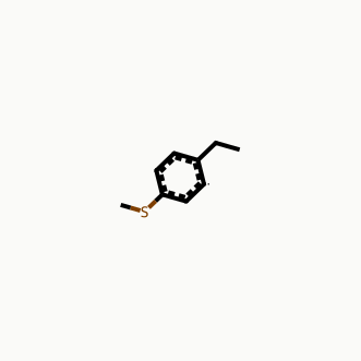 CCc1[c]cc(SC)cc1